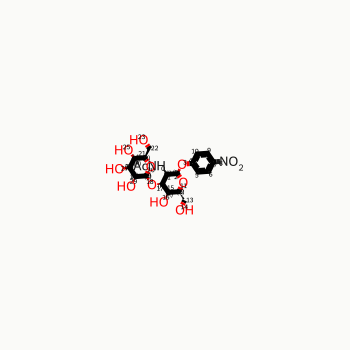 CC(=O)N[C@@H]1[C@@H](Oc2ccc([N+](=O)[O-])cc2)O[C@H](CO)[C@H](O)[C@@H]1O[C@@H]1O[C@H](CO)[C@H](O)[C@H](O)[C@H]1O